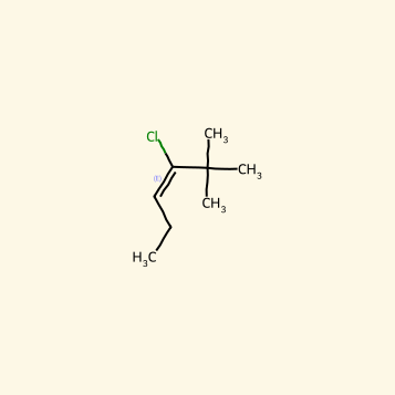 CC/C=C(/Cl)C(C)(C)C